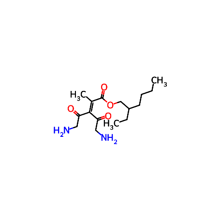 CCCCC(CC)COC(=O)C(C)=C(C(=O)CN)C(=O)CN